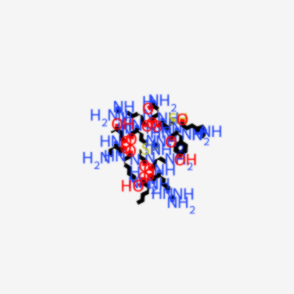 CCCC[C@H](NC(=O)[C@H](CCCNC(=N)N)NC(=O)[C@H](CCN)NC(=O)[C@H](CS)NC(=O)[C@H](CCCCN)NC(=O)[C@@H](CCN)NC(=O)[C@@H](NC(=O)[C@H](CCCNC(=N)N)NC(=O)[C@H](CCCNC(=N)N)NC(=O)[C@H](CC(N)=O)NC(=O)[C@H](CS)NC(=O)[C@H](Cc1ccc(O)cc1)NC(=O)[C@@H](N)Cc1c[nH]cn1)[C@@H](C)O)C(=O)O